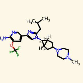 CC(C)Cc1nc(-c2cnc(N)c(OC(F)(F)F)c2)cn1[C@H]1[C@@H]2CC(N3CCN(C)CC3)C[C@@H]21